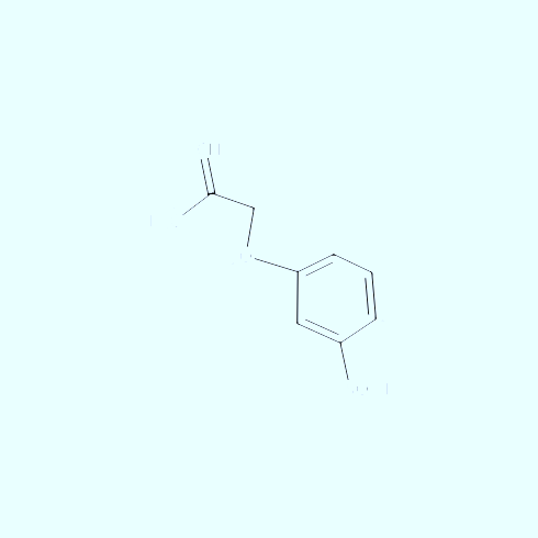 C=C(C)COc1cccc(S(=O)(=O)O)c1